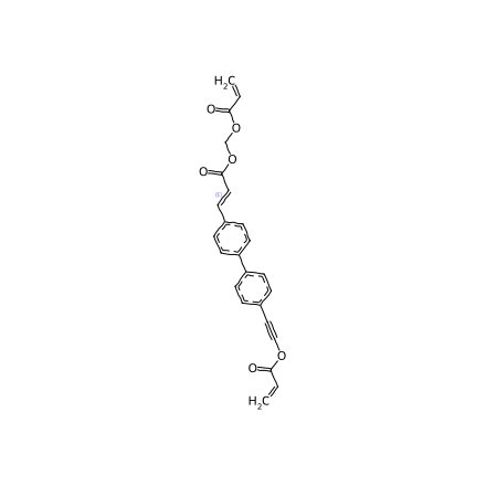 C=CC(=O)OC#Cc1ccc(-c2ccc(/C=C/C(=O)OCOC(=O)C=C)cc2)cc1